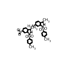 Cc1ccc(S(=O)(=O)n2nc(C)c3ccc(N)cc32)cc1.Cc1ccc(S(=O)(=O)n2nc(C)c3ccc([N+](=O)[O-])cc32)cc1